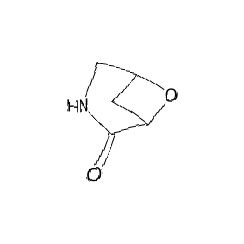 O=C1NCC2CC1O2